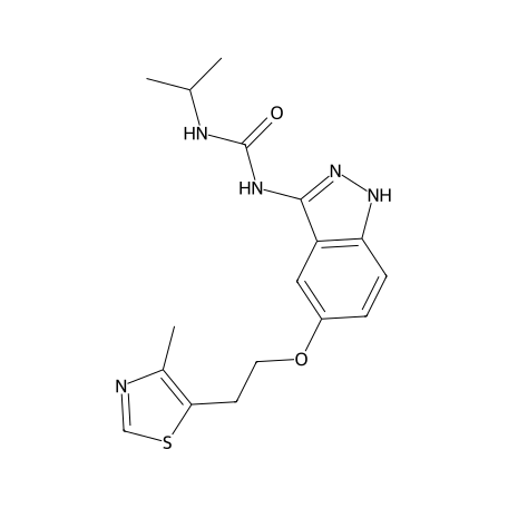 Cc1ncsc1CCOc1ccc2[nH]nc(NC(=O)NC(C)C)c2c1